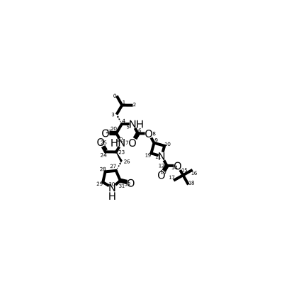 CC(C)C[C@H](NC(=O)OC1CN(C(=O)OC(C)(C)C)C1)C(=O)N[C@H](C=O)C[C@H]1CCNC1=O